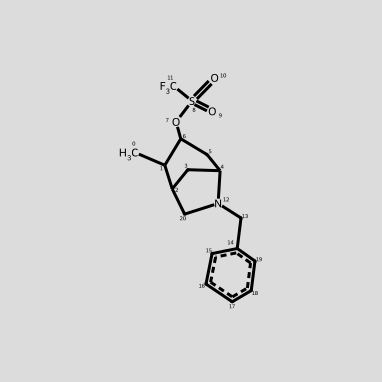 CC1C2CC(CC1OS(=O)(=O)C(F)(F)F)N(Cc1ccccc1)C2